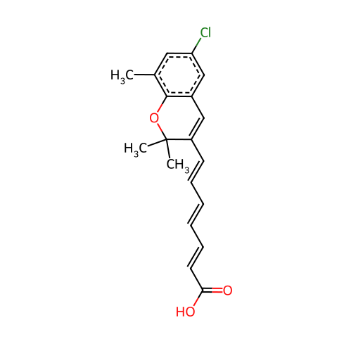 Cc1cc(Cl)cc2c1OC(C)(C)C(C=CC=CC=CC(=O)O)=C2